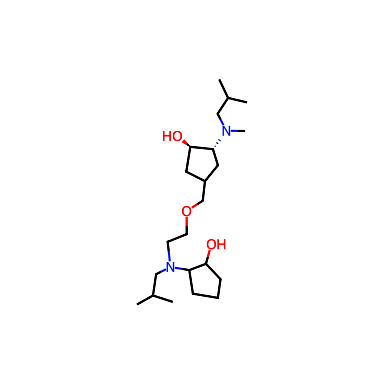 CC(C)CN(CCOCC1C[C@@H](O)[C@H](N(C)CC(C)C)C1)C1CCCC1O